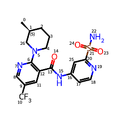 C[C@H]1CCCN(c2ncc(C(F)(F)F)cc2C(=O)Nc2ccnc(S(N)(=O)=O)c2)C1